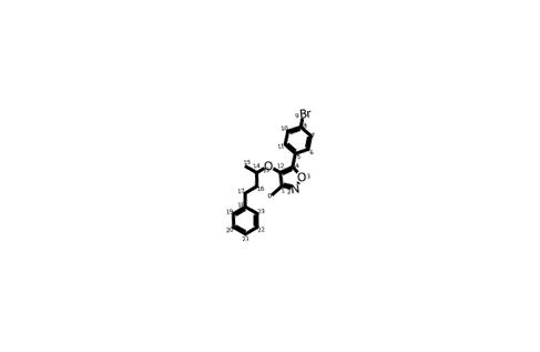 Cc1noc(-c2ccc(Br)cc2)c1OC(C)CCc1ccccc1